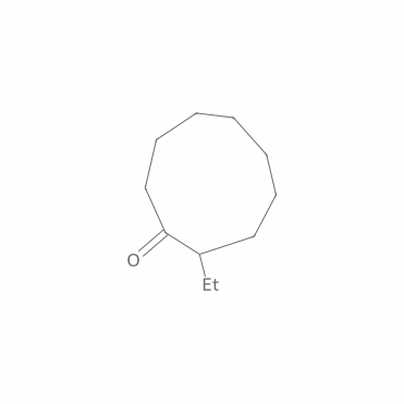 CCC1CCCCCCCC1=O